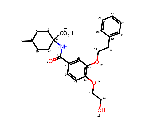 CC1CCC(NC(=O)c2ccc(OCCO)c(OCCc3ccccc3)c2)(C(=O)O)CC1